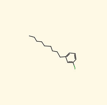 CCCCCCCCCc1cccc(F)c1